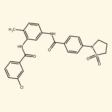 Cc1ccc(NC(=O)c2ccc(N3CCCS3(=O)=O)cc2)cc1NC(=O)c1cccc(Cl)c1